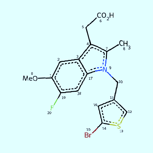 COc1cc2c(CC(=O)O)c(C)n(Cc3csc(Br)c3)c2cc1F